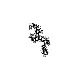 Cc1c(C(=O)NC2(C(F)F)CC2)cc(Nc2nc(-c3cnc4c(c3)N(C3CC(C)(N5CCOC(C)(C)C5)C3)C(=O)C4(C)C)cc3ncn(C(C)C)c23)c(F)c1F